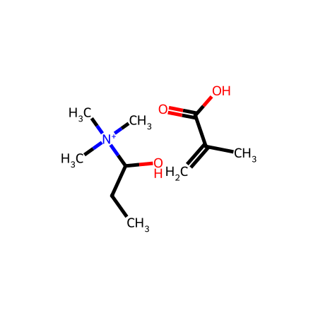 C=C(C)C(=O)O.CCC(O)[N+](C)(C)C